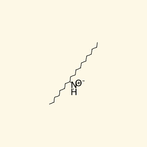 CCCCCCCCCCCC(CCCCCCC)[NH+](C)[O-]